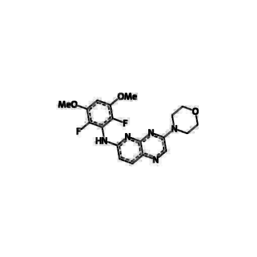 COc1cc(OC)c(F)c(Nc2ccc3ncc(N4CCOCC4)nc3n2)c1F